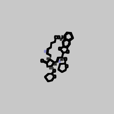 O=C(O)CCC/C=C\C[C@H]1C(=O)C[C@@H](OC2CCCCO2)[C@@H]1/C=C/[C@@H](OC1CCCCO1)C1Oc2cc3ccccc3cc2O1